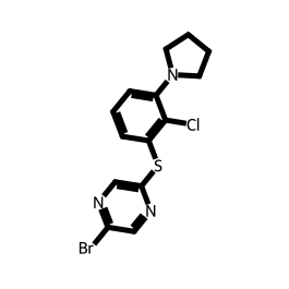 Clc1c(Sc2cnc(Br)cn2)cccc1N1CCCC1